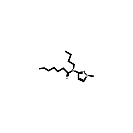 CCCCCCC(=O)N(CCCC)c1ccn(C)n1